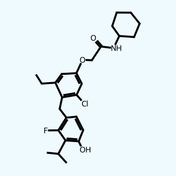 CCc1cc(OCC(=O)NC2CCCCC2)cc(Cl)c1Cc1ccc(O)c(C(C)C)c1F